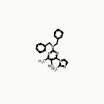 Cc1nc(N(Cc2ccccc2)Cc2ccccc2)nc(-n2ccnc2C)c1[N+](=O)[O-]